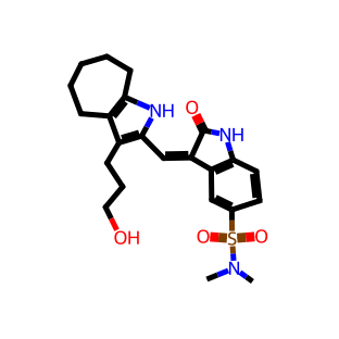 CN(C)S(=O)(=O)c1ccc2c(c1)/C(=C/c1[nH]c3c(c1CCCO)CCCCC3)C(=O)N2